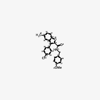 COc1ccc(CNC(=O)c2oc3ccc(C)cc3c2-c2ccc(Cl)cc2)cc1